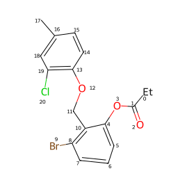 CCC(=O)Oc1cccc(Br)c1COc1ccc(C)cc1Cl